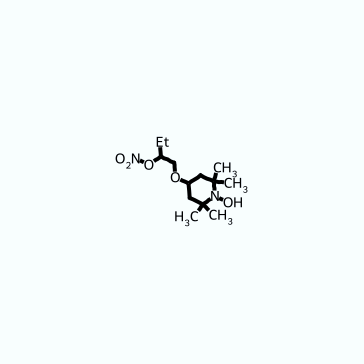 CCC(COC1CC(C)(C)N(O)C(C)(C)C1)O[N+](=O)[O-]